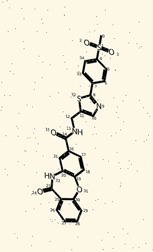 CS(=O)(=O)c1ccc(-c2ncc(CNC(=O)c3ccc4c(c3)NC(=O)c3ccccc3O4)s2)cc1